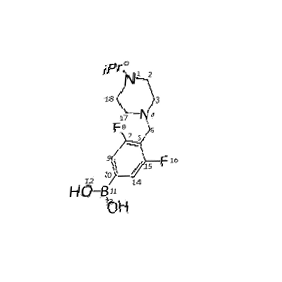 CC(C)N1CCN(Cc2c(F)cc(B(O)O)cc2F)CC1